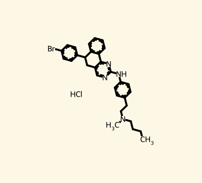 CCCCN(C)CCc1ccc(Nc2ncc3c(n2)-c2ccccc2C(c2ccc(Br)cc2)C3)cc1.Cl